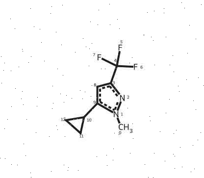 Cn1nc(C(F)(F)F)cc1C1CC1